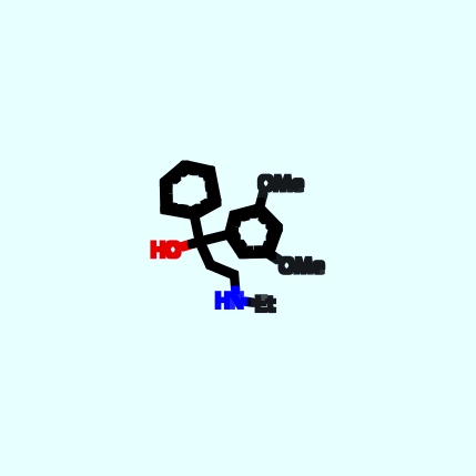 CCNCCC(O)(c1ccccc1)c1cc(OC)cc(OC)c1